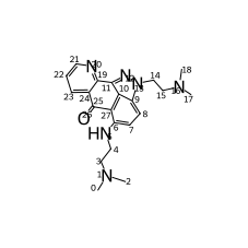 CN(C)CCNc1ccc2c3c(nn2CCN(C)C)-c2ncccc2C(=O)c13